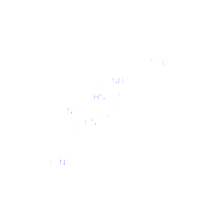 CCOc1ccc(C[C@@H](NC(=O)c2ccccc2)C(=O)N[C@@H](Cc2cscn2)C(=O)NCc2ccc(CN)cc2)cc1